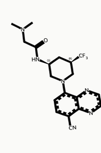 CN(C)CC(=O)N[C@H]1C[C@@H](C(F)(F)F)CN(c2ccc(C#N)c3nccnc23)C1